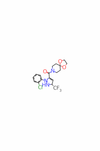 O=C(C1=CC(C(F)(F)F)NN1c1ccccc1Cl)N1CCC2(CC1)OCCO2